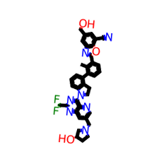 Cc1c(-c2nc3cc(CO)cc(C#N)c3o2)cccc1-c1cccc2c1CCN2c1nc(C(F)F)nc2cc(CN3CC[C@@H](O)C3)cnc12